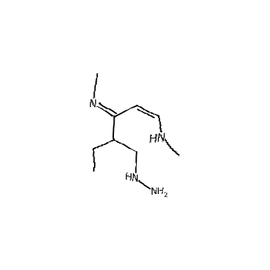 CCC(CNN)C(/C=C\NC)=N/C